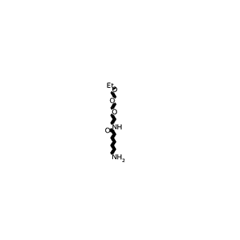 CCOCCOCCOCCCNC(=O)CCCCCCN